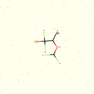 CC(C)C(OC(F)F)C([O])(F)F